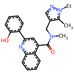 CCn1ncc(CN(C)C(=O)c2cc(-c3ccccc3O)nc3ccccc23)c1C